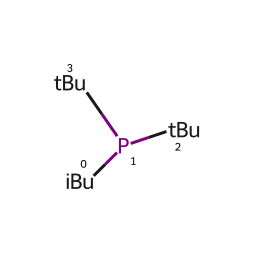 CCC(C)P(C(C)(C)C)C(C)(C)C